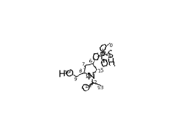 COP(O)(=S)OC1CC(CO)N(C(C)=O)C1